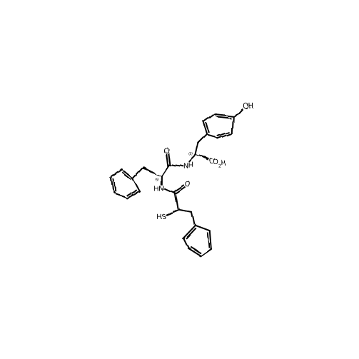 O=C(N[C@@H](Cc1ccccc1)C(=O)N[C@@H](Cc1ccc(O)cc1)C(=O)O)C(S)Cc1ccccc1